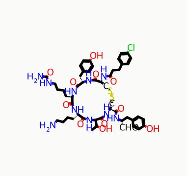 CC(O)C1NC(=O)[C@H](CCCCN)NC(=O)[C@@H](CCCCNC(N)=O)NC(=O)[C@H](Cc2ccc(O)cc2)NC(=O)[C@H](NC(=O)CCc2ccc(Cl)cc2)CSSC[C@@H](C(=O)N[C@@H](C=O)Cc2ccc(O)cc2)NC1=O